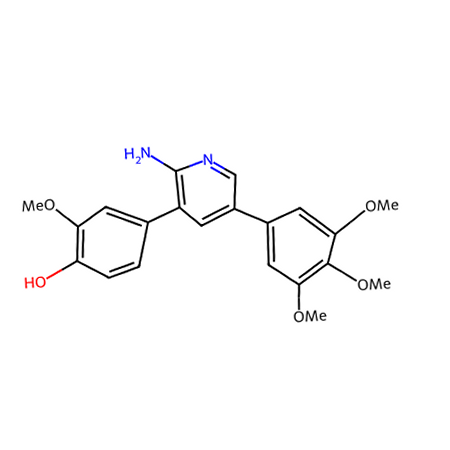 COc1cc(-c2cc(-c3cc(OC)c(OC)c(OC)c3)cnc2N)ccc1O